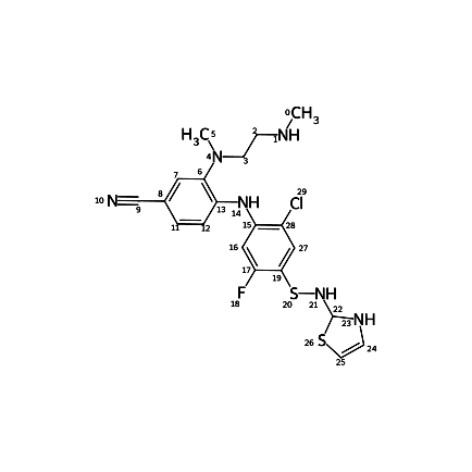 CNCCN(C)c1cc(C#N)ccc1Nc1cc(F)c(SNC2NC=CS2)cc1Cl